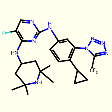 CC1(C)CC(Nc2nc(Nc3ccc(C4CC4)c(-n4nnnc4C(F)(F)F)c3)ncc2F)CC(C)(C)N1